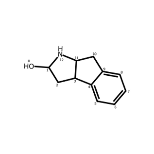 OC1CC2c3ccccc3CC2N1